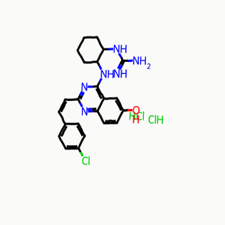 Cl.Cl.N=C(N)NC1CCCCC1Nc1nc(/C=C\c2ccc(Cl)cc2)nc2ccc(O)cc12